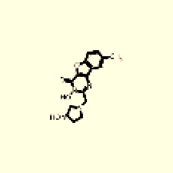 Cc1[c]c2c(cc1)oc1c(=O)n(O)c(CN3CC[C@H](O)C3)nc12